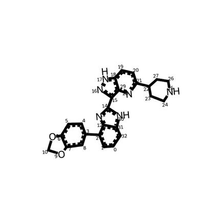 c1cc(-c2ccc3c(c2)OCO3)c2nc(-c3n[nH]c4ccc(C5CCNCC5)nc34)[nH]c2c1